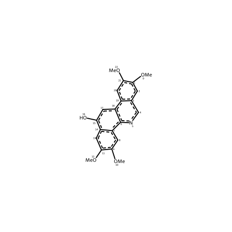 COc1cc2cnc3c4cc(OC)c(OC)cc4c(O)cc3c2cc1OC